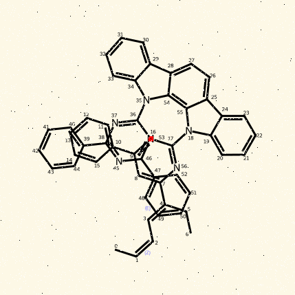 C/C=C\C=C(/CC)c1cc(-c2ccccc2)nc(-n2c3ccccc3c3ccc4c5ccccc5n(-c5nc(-c6ccccc6)nc(-c6ccccc6)n5)c4c32)n1